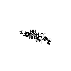 C=CC(=O)N1CC(F)[C@@H](NC(=O)c2c(C(F)F)nc(CNC(=N)c3cc(C(C)(C)C)c(C)cc3N)n2C)C1